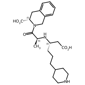 C[C@H](N[C@@H](CCCC1CCNCC1)CC(=O)O)C(=O)N1Cc2ccccc2C[C@H]1C(=O)O